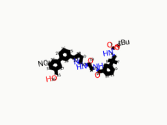 CC(C)(C)OC(=O)NCC(C)(C)c1cccc(C(=O)NCC(=O)NC2=NC(c3cccc(-c4cc(C#N)cc(CO)c4)c3)=CC2)c1